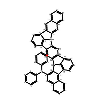 c1ccc(N(c2ccccc2)c2cc3ccccc3c3c4cccc5c6nc7c(cc6n(c23)c54)c2cccc3c4cc5ccccc5cc4n7c32)cc1